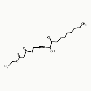 CCCCCCCCC(Cl)C(O)C#CCCC(=O)CC(=O)OCC